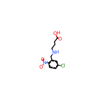 O=C(O)CCCNCc1cc(Cl)ccc1[N+](=O)[O-]